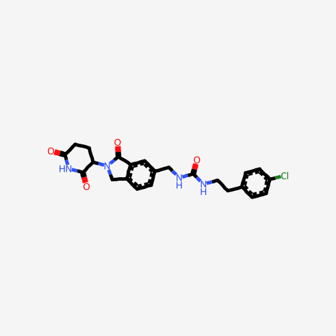 O=C1CCC(N2Cc3ccc(CNC(=O)NCCc4ccc(Cl)cc4)cc3C2=O)C(=O)N1